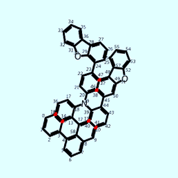 c1ccc(-c2cccc3cccc(-c4ccccc4N(c4ccc(-c5cccc6c5oc5ccccc56)cc4)c4ccccc4-c4ccc5c(c4)oc4ccccc45)c23)cc1